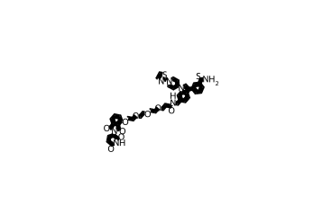 NC(=S)c1cccc(-c2cn(C3CCN(c4nccs4)CC3)c3cc(CNC(=O)CCOCCOCCOCCOc4cccc5c4C(=O)N(C4CCC(=O)NC4=O)C5=O)ccc23)c1